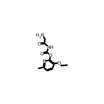 CCOc1ccc(C)nc1OC(=O)NC(=O)CN